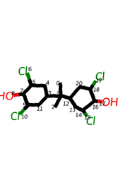 CC(C)(C1CC(Cl)C(O)C(Cl)C1)C1CC(Cl)C(O)C(Cl)C1